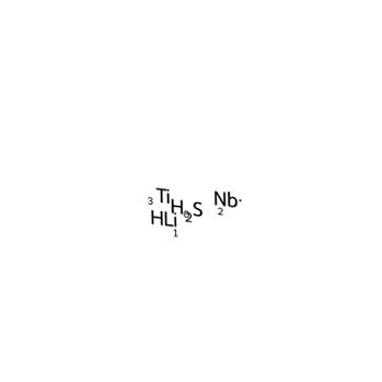 S.[LiH].[Nb].[Ti]